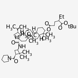 C=C(C)[C@@H]1CC[C@]2(C(=O)N[C@@H]3C[C@H](C(=O)N4CCCCC4)C3(C)C)CC[C@]3(C)[C@H](CC[C@H]4C3(C)CC[C@H]3C(C)(C)[C@@H](OC(=O)CCC(CC)C(=O)OC(C)(C)C)CC[C@@]34C)[C@@H]12